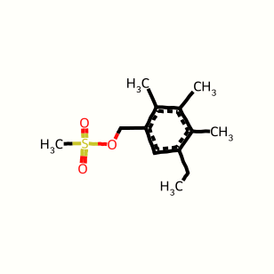 CCc1cc(COS(C)(=O)=O)c(C)c(C)c1C